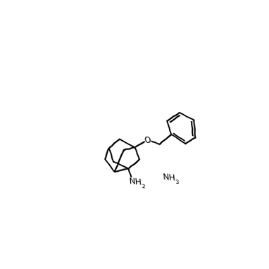 N.NC12CC3CC1CC(OCc1ccccc1)(C3)C2